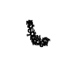 Cc1c(Oc2ccn3ncnc3c2)ccc(Nc2ncnc3cc4c(nc23)N2CCN(C)C[C@H]2CO4)c1F